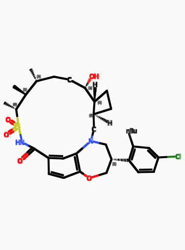 CCCCc1cc(Cl)ccc1[C@@H]1COc2ccc3cc2N(C1)C[C@@H]1CC[C@H]1[C@@H](O)CC[C@@H](C)[C@H](C)[C@@H](C)S(=O)(=O)NC3=O